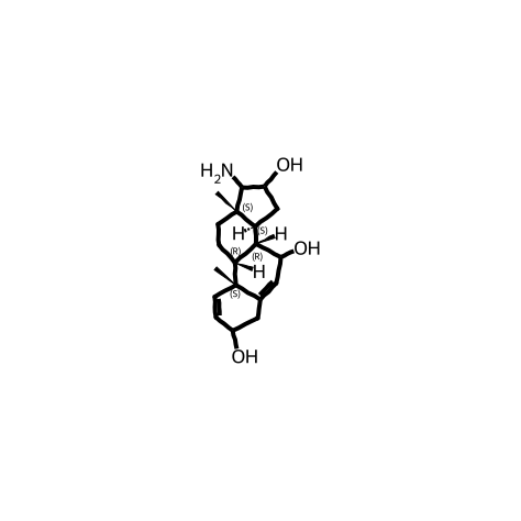 C[C@]12C=CC(O)CC1=CC(O)[C@@H]1[C@H]2CC[C@]2(C)C(N)C(O)C[C@@H]12